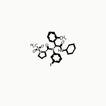 Cc1ccccc1[C@@H](C(=O)NC1CCCCC1)N(C(=O)[C@H]1CCCN1S(C)(=O)=O)c1cccc(F)c1